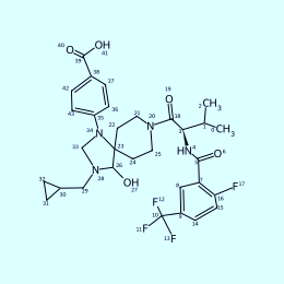 CC(C)[C@@H](NC(=O)c1cc(C(F)(F)F)ccc1F)C(=O)N1CCC2(CC1)C(O)N(CC1CC1)CN2c1ccc(C(=O)O)cc1